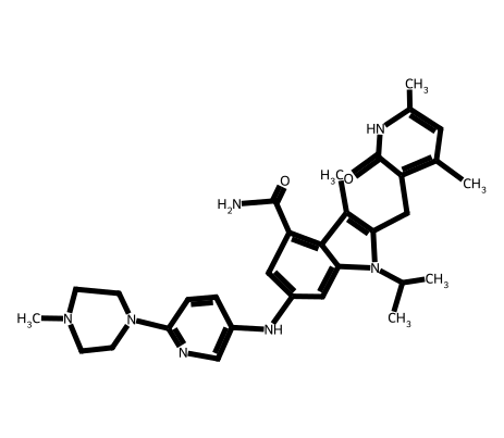 Cc1cc(C)c(Cc2c(C)c3c(C(N)=O)cc(Nc4ccc(N5CCN(C)CC5)nc4)cc3n2C(C)C)c(=O)[nH]1